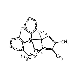 CC1=[C]C(C)([Si](C)(c2ccccc2)c2c(C)cccc2C)C(C)=C1C